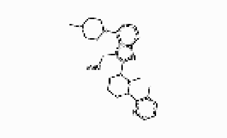 COCc1c(C2CCCC(c3ncccc3C)N2C)nc2cccc(N3CCN(C)CC3)n12